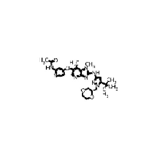 CC(=O)Nc1cc(Oc2cnc3nc(Nc4cc(C(C)(C)C)n(C[C@@H]5COCCO5)n4)n(C)c3c2C)ccn1